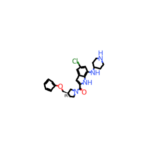 O=C(c1cc2cc(Cl)cc(NC3CCNCC3)c2[nH]1)N1CC[C@@H](COc2ccccc2)C1